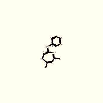 CC1=CC(C)=NC(Nc2ccccc2)=NC1